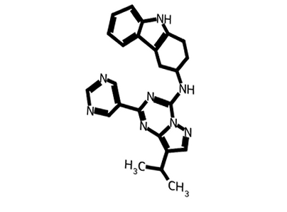 CC(C)c1cnn2c(NC3CCc4[nH]c5ccccc5c4C3)nc(-c3cncnc3)nc12